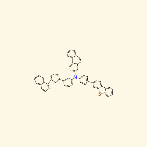 c1cc(-c2cccc(N(c3ccc(-c4ccc5c(c4)sc4ccccc45)cc3)c3ccc4c(ccc5ccccc54)c3)c2)cc(-c2cccc3ccccc23)c1